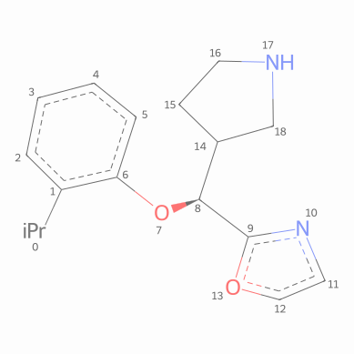 CC(C)c1ccccc1O[C@H](c1ncco1)C1CCNC1